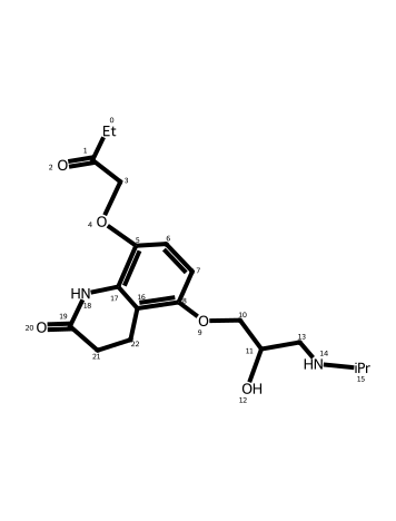 CCC(=O)COc1ccc(OCC(O)CNC(C)C)c2c1NC(=O)CC2